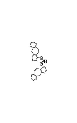 O=[PH](Oc1cccc2c1C=Cc1ccccc1C2)Oc1cccc2c1C=Cc1ccccc1C2